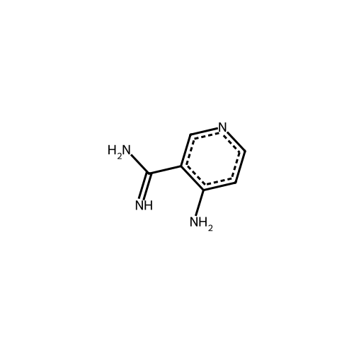 N=C(N)c1cnccc1N